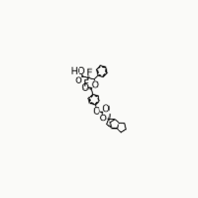 CC1(OC(=O)Oc2ccc(C(=O)OC(c3ccccc3)C(F)(F)C(=O)O)cc2)CC2CC1C1CCCC21